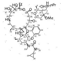 CCCNC[C@]1(O)[C@H](C)O[C@@H](O[C@H]2[C@H](C)[C@@H](O[C@@H]3O[C@H](C)C[C@H](N(C)C(=O)N(C)C4CC4)[C@H]3Oc3ccccc3)[C@](C)(O)C[C@@H](C)CN[C@H](C)[C@@H](O)[C@](C)(O)[C@@H](CC)OC(=O)[C@@H]2C)C[C@@]1(C)OC